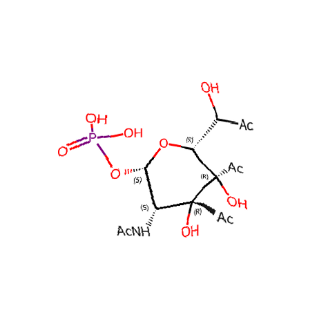 CC(=O)N[C@@H]1[C@H](OP(=O)(O)O)O[C@H](C(O)C(C)=O)[C@](O)(C(C)=O)[C@@]1(O)C(C)=O